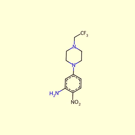 Nc1cc(N2CCN(CC(F)(F)F)CC2)ccc1[N+](=O)[O-]